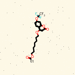 CCC(=O)OCCCCCCCCOc1cc(=O)oc2cc(OC(F)(F)C(F)(F)F)ccc12